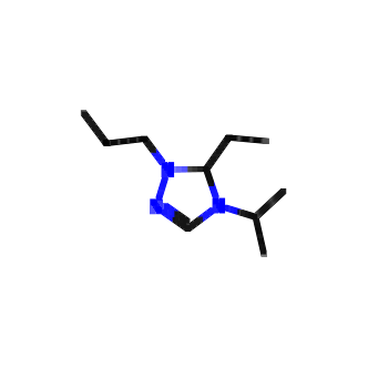 CCCN1N=CN(C(C)C)C1CC